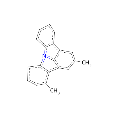 Cc1cc2c3ccccc3n3c4cccc(C)c4c(c1)c23